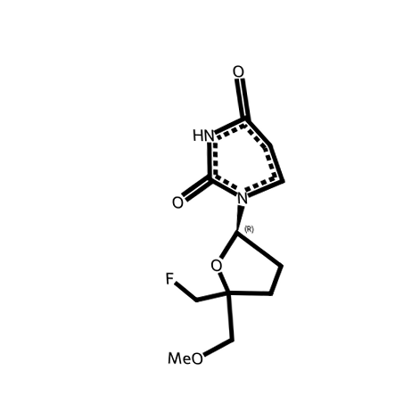 COCC1(CF)CC[C@H](n2ccc(=O)[nH]c2=O)O1